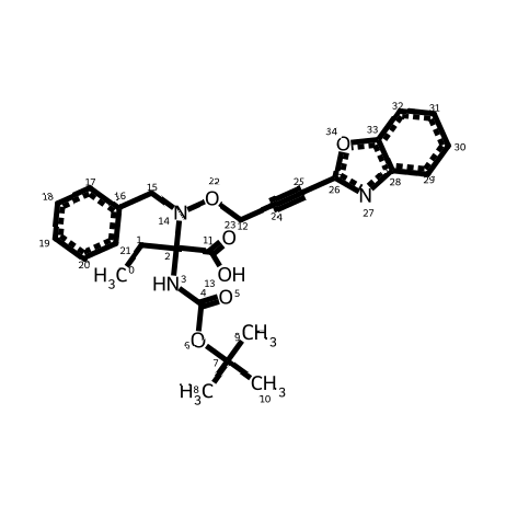 CCC(NC(=O)OC(C)(C)C)(C(=O)O)N(Cc1ccccc1)OCC#Cc1nc2ccccc2o1